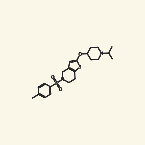 Cc1ccc(S(=O)(=O)N2CCc3sc(OC4CCN(C(C)C)CC4)cc3C2)cc1